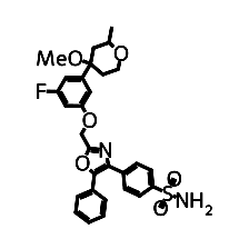 COC1(c2cc(F)cc(OCc3nc(-c4ccc(S(N)(=O)=O)cc4)c(-c4ccccc4)o3)c2)CCOC(C)C1